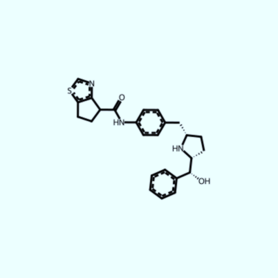 O=C(Nc1ccc(C[C@@H]2CC[C@H]([C@H](O)c3ccccc3)N2)cc1)C1CCc2scnc21